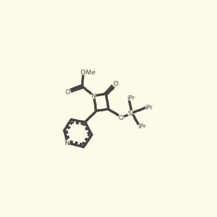 COC(=O)N1C(=O)C(O[Si](C(C)C)(C(C)C)C(C)C)C1c1ccncc1